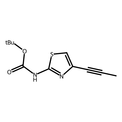 CC#Cc1csc(NC(=O)OC(C)(C)C)n1